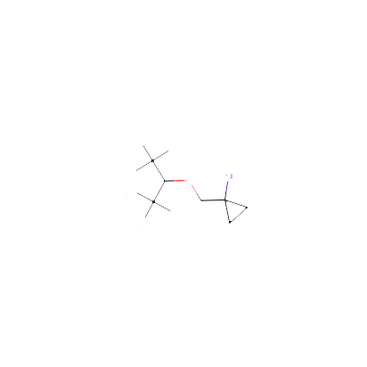 CC(C)(C)C(OCC1(N)CC1)C(C)(C)C